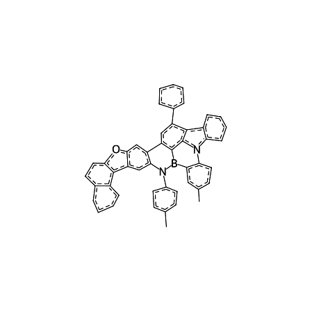 Cc1ccc(N2B3c4cc(C)ccc4-n4c5ccccc5c5c(-c6ccccc6)cc(c3c54)-c3cc4oc5ccc6ccccc6c5c4cc32)cc1